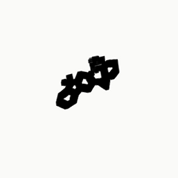 CC1(C)c2ccccc2-c2cc(C3CC3)c(N(c3ccccc3)C(C)(C)C)cc21